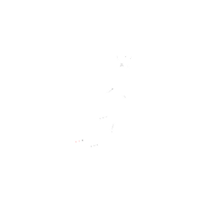 C=C1CC[C@@H](C)[C@@H](C)CCCC(C)[C@@H]1COC1=CC2OC(=O)C=CC2C=C1